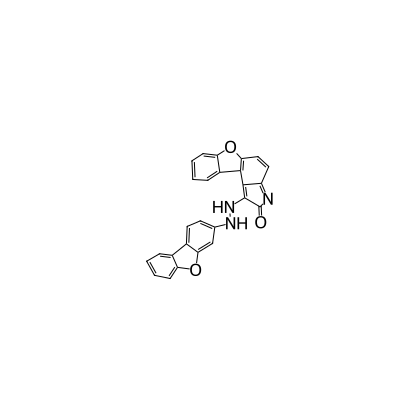 O=C1N=c2ccc3oc4ccccc4c3c2=C1NNc1ccc2c(c1)oc1ccccc12